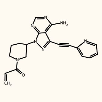 C=CC(=O)N1CCCC(n2nc(C#Cc3ccccn3)c3c(N)ncnc32)C1